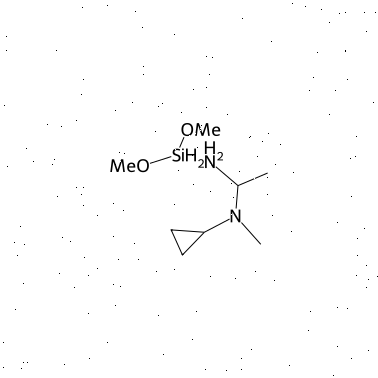 CC(N)N(C)C1CC1.CO[SiH2]OC